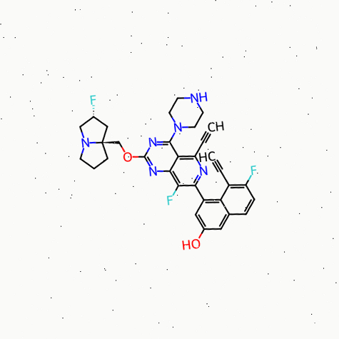 C#Cc1c(F)ccc2cc(O)cc(-c3nc(C#C)c4c(N5CCNCC5)nc(OC[C@@]56CCCN5C[C@H](F)C6)nc4c3F)c12